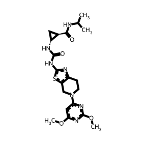 COc1cc(N2CCc3nc(NC(=O)N[C@@H]4C[C@H]4C(=O)NC(C)C)sc3C2)nc(OC)n1